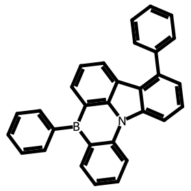 c1ccc(B2c3ccccc3-n3c4cccc(-c5ccccc5)c4c4cccc2c43)cc1